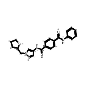 O=C(Nc1ccccc1)c1ccc(C(=O)Nc2cnn(CC3CCCO3)c2)cc1